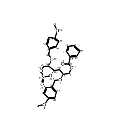 COc1ccc(CO[C@@H]2COC(c3ccccc3)O[C@H]2[C@@H]2OS(=O)OC[C@H]2OCc2ccc(OC)cc2)cc1